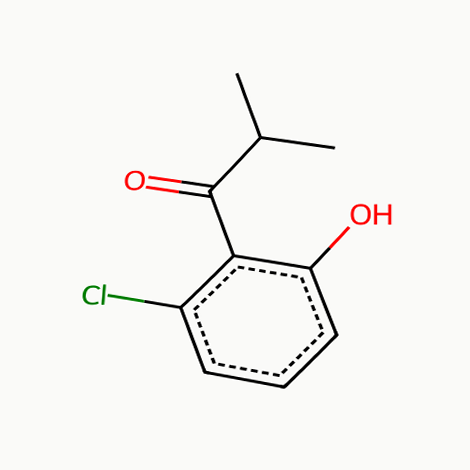 CC(C)C(=O)c1c(O)cccc1Cl